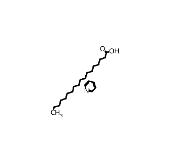 CCCCCCCCCCCCCCCCCC(=O)O.c1ccncc1